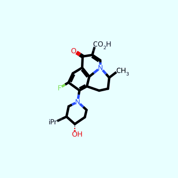 CC(C)C1CN(c2c(F)cc3c(=O)c(C(=O)O)cn4c3c2CCC4C)CC[C@@H]1O